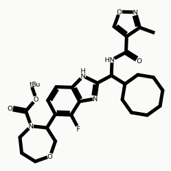 Cc1nocc1C(=O)NC(c1nc2c(F)c(C3COCCCN3C(=O)OC(C)(C)C)ccc2[nH]1)C1CCCCCCC1